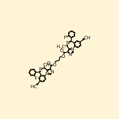 C#Cc1ccc2c(c1)C(c1ccccc1F)=N[C@@H](C)c1c(C(=O)OCCCOC(=O)c3ncn4c3[C@H](C)N=C(c3ccccc3F)c3cc(C#C)ccc3-4)ncn1-2